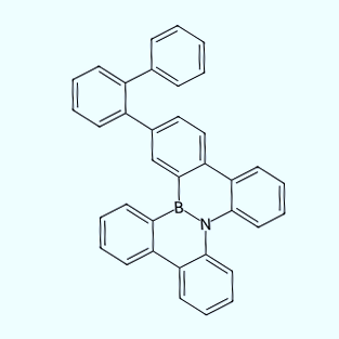 c1ccc(-c2ccccc2-c2ccc3c(c2)B2c4ccccc4-c4ccccc4N2c2ccccc2-3)cc1